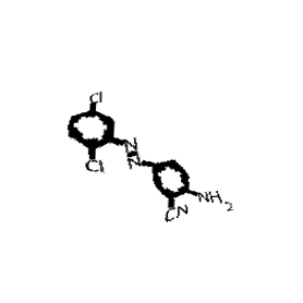 N#Cc1cc(N=Nc2cc(Cl)ccc2Cl)ccc1N